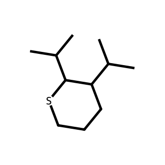 CC(C)C1CCCSC1C(C)C